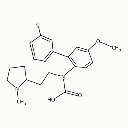 COc1ccc(N(CCC2CCCN2C)C(=O)O)c(-c2cccc(Cl)c2)c1